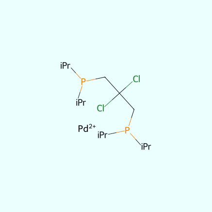 CC(C)P(CC(Cl)(Cl)CP(C(C)C)C(C)C)C(C)C.[Pd+2]